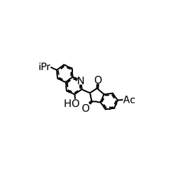 CC(=O)c1ccc2c(c1)C(=O)C(c1nc3ccc(C(C)C)cc3cc1O)C2=O